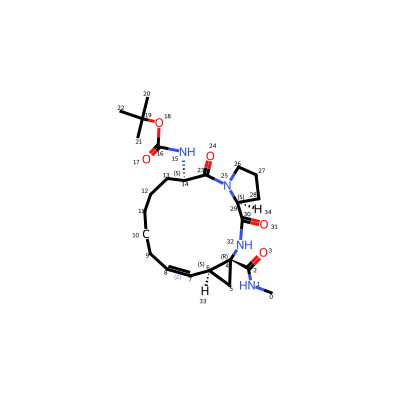 CNC(=O)[C@@]12C[C@H]1/C=C\CCCCC[C@H](NC(=O)OC(C)(C)C)C(=O)N1CCC[C@H]1C(=O)N2